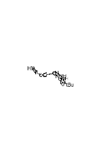 CC(C)(C)c1cc(NC(=O)Nc2cn3ccc(C#Cc4ccc(OCCN5CC6CNCC6C5)cc4)cc3n2)no1